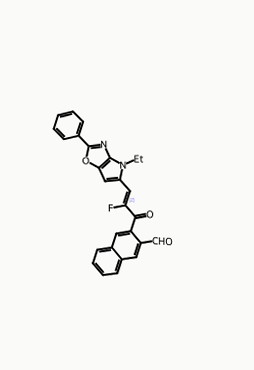 CCn1c(/C=C(\F)C(=O)c2cc3ccccc3cc2C=O)cc2oc(-c3ccccc3)nc21